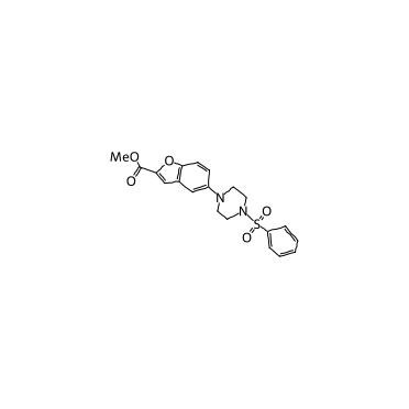 COC(=O)c1cc2cc(N3CCN(S(=O)(=O)c4ccccc4)CC3)ccc2o1